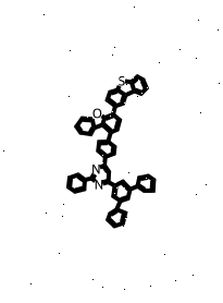 c1ccc(-c2cc(-c3ccccc3)cc(-c3cc(-c4ccc(-c5ccc(-c6ccc7sc8ccccc8c7c6)c6oc7ccccc7c56)cc4)nc(-c4ccccc4)n3)c2)cc1